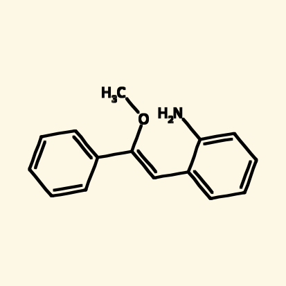 COC(=Cc1ccccc1N)c1ccccc1